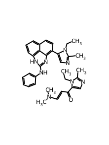 CCn1c(-c2ccc3cccc4c3c2N=C(Nc2ccccc2)N4)cnc1C.CCn1c(C(=O)C=CN(C)C)cnc1C